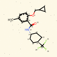 Cc1ccc(OCC2CC2)c(C(=O)N[C@H]2CC[C@H](C(F)(F)F)CC2)c1